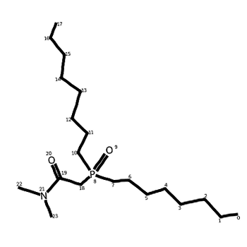 CCCCCCCCP(=O)(CCCCCCCC)CC(=O)N(C)C